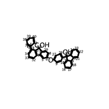 CC(O)(c1ccc(Oc2ccc(C3(O)c4ccccc4-c4ccccc43)cc2)cc1)c1ccccc1-c1ccccc1